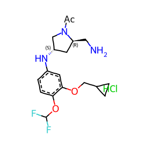 CC(=O)N1C[C@@H](Nc2ccc(OC(F)F)c(OCC3CC3)c2)C[C@@H]1CN.Cl